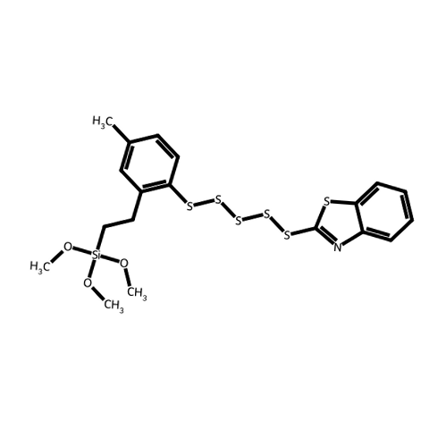 CO[Si](CCc1cc(C)ccc1SSSSSc1nc2ccccc2s1)(OC)OC